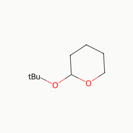 CC(C)(C)OC1CCCCO1